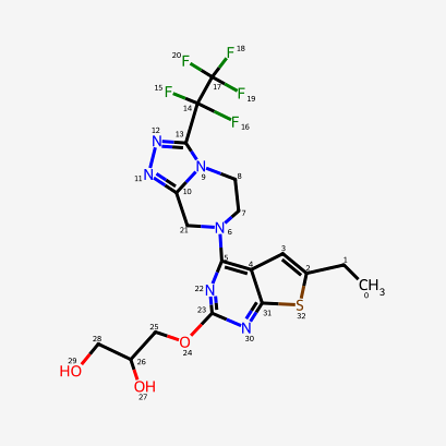 CCc1cc2c(N3CCn4c(nnc4C(F)(F)C(F)(F)F)C3)nc(OCC(O)CO)nc2s1